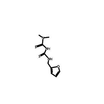 CN(C)C(=S)NC(=S)NCc1ccco1